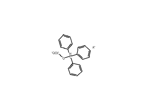 O=C([O-])O[PH](c1ccccc1)(c1ccccc1)c1ccccc1.[K+]